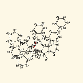 CC1(C)c2ccccc2-c2c(N(c3cccc(-c4ccccc4)c3)c3ccccc3-c3ccc4c(c3)-n3c5ccccc5c5cccc(c53)C43c4ccccc4-c4ccccc43)cccc21